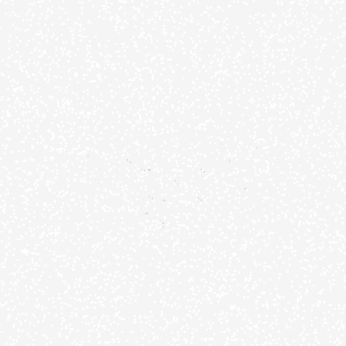 Cc1nc(N[C@@H](CO)c2ccc(F)cc2)nc2c1ncn2-c1cc(C2CC2)[nH]n1